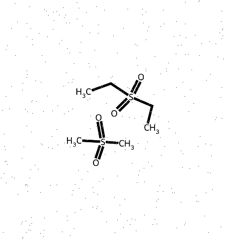 CCS(=O)(=O)CC.CS(C)(=O)=O